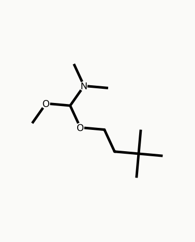 COC(OCCC(C)(C)C)N(C)C